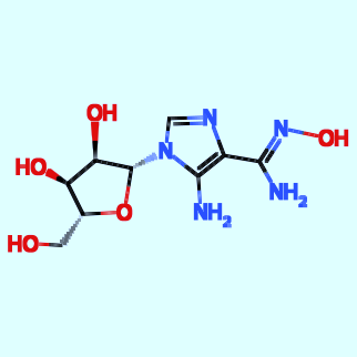 NC(=NO)c1ncn([C@@H]2O[C@H](CO)[C@@H](O)[C@H]2O)c1N